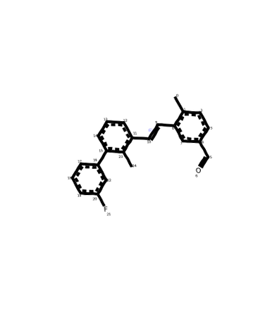 Cc1ccc(C=O)cc1/C=C/c1cccc(-c2cccc(F)c2)c1C